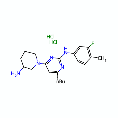 CCCCc1cc(N2CCCC(N)C2)nc(Nc2ccc(C)c(F)c2)n1.Cl.Cl